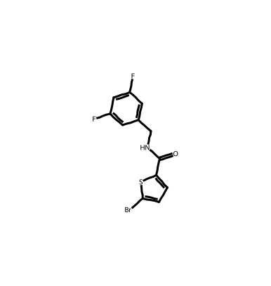 O=C(NCc1cc(F)cc(F)c1)c1ccc(Br)s1